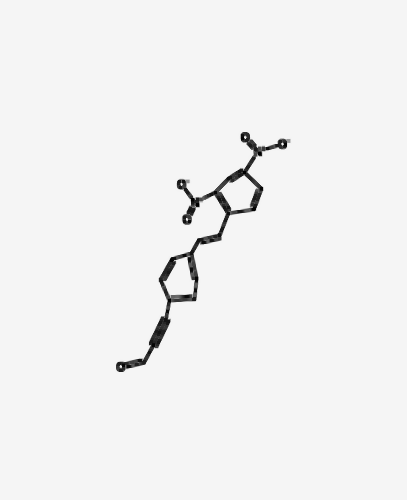 O=CC#Cc1ccc(/C=C/c2ccc([N+](=O)[O-])cc2[N+](=O)[O-])cc1